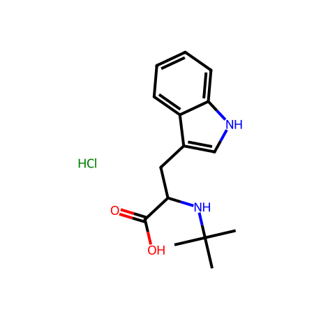 CC(C)(C)NC(Cc1c[nH]c2ccccc12)C(=O)O.Cl